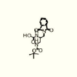 CC(C)(C)OC(=O)NCC(CN1C(=O)c2ccccc2C1=O)NC(=O)O